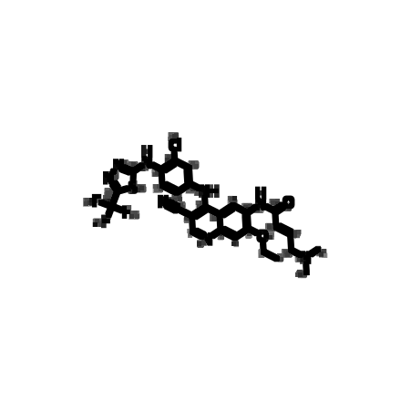 CCOc1cc2ncc(C#N)c(Nc3ccc(Nc4nnc(C(F)(F)F)s4)c(Cl)c3)c2cc1NC(=O)C=CCN(C)C